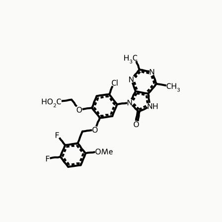 COc1ccc(F)c(F)c1COc1cc(-n2c(=O)[nH]c3c(C)nc(C)nc32)c(Cl)cc1OCC(=O)O